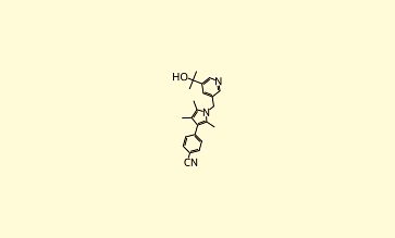 Cc1c(-c2ccc(C#N)cc2)c(C)n(Cc2cncc(C(C)(C)O)c2)c1C